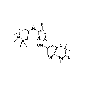 CN1C(=O)C(C)(C)Oc2cc(Nc3ncc(F)c(NC4CC(C)(C)N(C)C(C)(C)C4)n3)cnc21